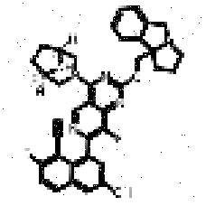 C#Cc1c(F)ccc2cc(O)cc(-c3ncc4c(N5C[C@H]6CC[C@@H](C5)N6)nc(OCC56CCCN5Cc5ccccc56)nc4c3F)c12